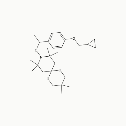 CC(ON1C(C)(C)CC2(CC1(C)C)OCC(C)(C)CO2)c1ccc(OCC2CC2)cc1